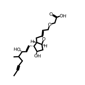 CC#CCC(C)[C@H](O)/C=C/[C@@H]1[C@@H]2C/C(=C/COCC(=O)O)O[C@H]2C[C@H]1O